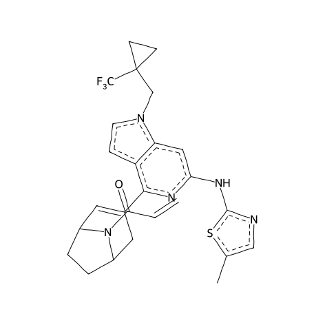 C=CC(=O)N1C2C=C(c3nc(Nc4ncc(C)s4)cc4c3ccn4CC3(C(F)(F)F)CC3)CC1CC2